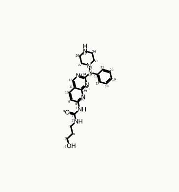 O=C(NCCCO)Nc1ccc2cnc(N(c3ccccc3)N3CCNCC3)nc2n1